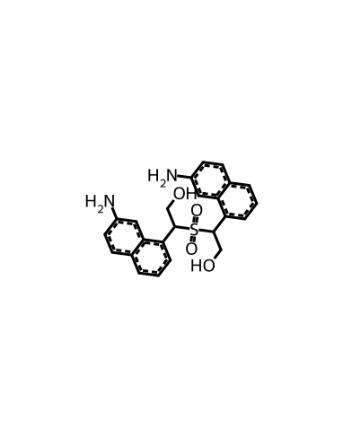 Nc1ccc2cccc(C(CO)S(=O)(=O)C(CO)c3cccc4ccc(N)cc34)c2c1